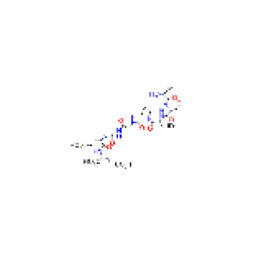 CC(C)C[C@H](NC(=O)[C@H](CO)NC(=O)[C@@H](N)C(C)C)C(=O)N1CCC[C@H]1C(=O)NCC(=O)NCC(=O)N[C@@H](CCC(=O)O)C(=O)N[C@@H](CCC(=O)O)C(=O)O